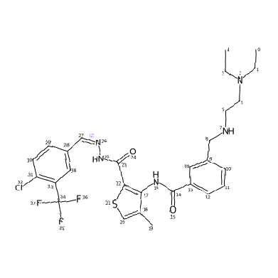 CCN(CC)CCNCc1cccc(C(=O)Nc2c(C)csc2C(=O)N/N=C\c2ccc(Cl)c(C(F)(F)F)c2)c1